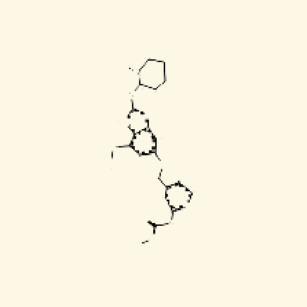 COC(=O)Nc1cc(COc2cc(OC)c3nc(NC4CCCC[C@@H]4O)sc3c2)ccn1